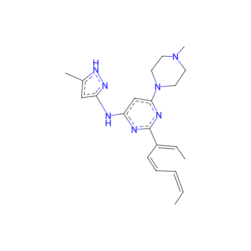 CC=C(/C=C\C=C/C)c1nc(Nc2cc(C)[nH]n2)cc(N2CCN(C)CC2)n1